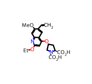 C=Cc1cc2c(O[C@@H]3C[C@@H](C(=O)O)N(C(=O)O)C3)cc(OCC)nc2cc1OC